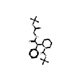 CC(C)(C)OC(=O)CNC(=O)C(c1ccccc1)C1CCCCN1C(=O)OC(C)(C)C